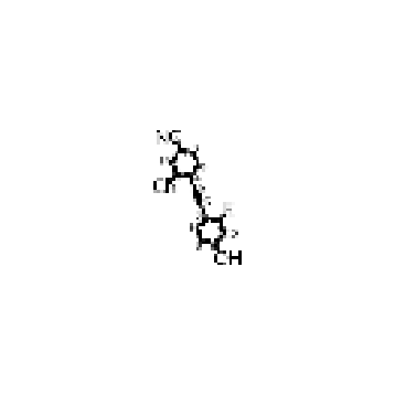 N#Cc1ccc(C#Cc2ccc(O)cc2F)c(Cl)c1